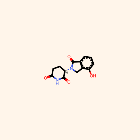 O=C1CC[C@H](N2Cc3c(O)cccc3C2=O)C(=O)N1